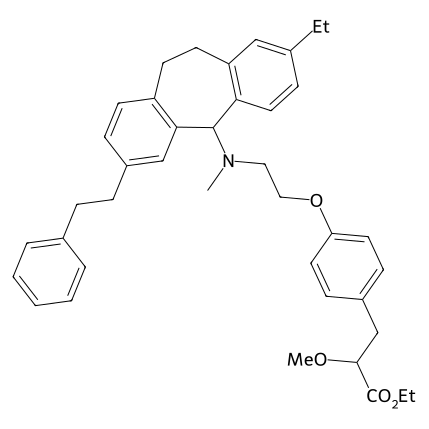 CCOC(=O)C(Cc1ccc(OCCN(C)C2c3ccc(CC)cc3CCc3ccc(CCc4ccccc4)cc32)cc1)OC